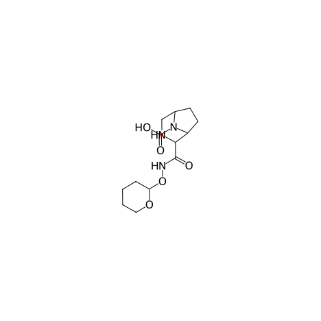 O=C(NOC1CCCCO1)C1NCC2CCC1N2C(=O)O